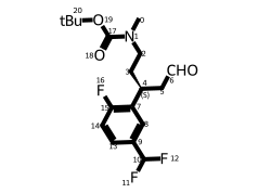 CN(CC[C@@H](CC=O)c1cc(C(F)F)ccc1F)C(=O)OC(C)(C)C